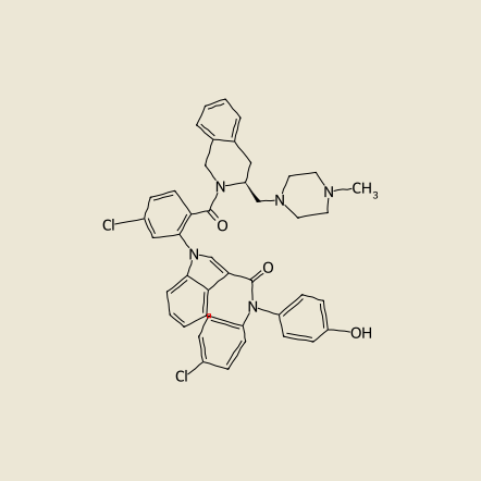 CN1CCN(C[C@@H]2Cc3ccccc3CN2C(=O)c2ccc(Cl)cc2-n2cc(C(=O)N(c3ccc(O)cc3)c3ccc(Cl)cc3)c3ccccc32)CC1